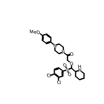 COc1ccc(N2CCN(C(=O)COC(C3CCCCN3)S(=O)(=O)c3ccc(Cl)c(Cl)c3)CC2)cc1